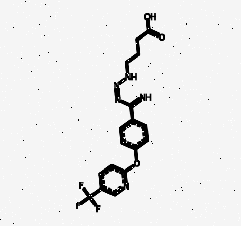 N=C(/N=N\NCCCC(=O)O)c1ccc(Oc2ccc(C(F)(F)F)cn2)cc1